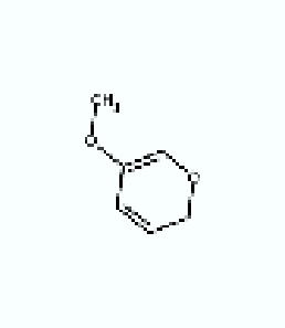 COC1=COCC=C1